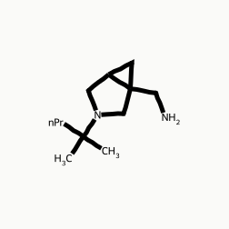 CCCC(C)(C)N1CC2CC2(CN)C1